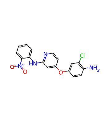 Nc1ccc(Oc2ccnc(Nc3ccccc3[N+](=O)[O-])c2)cc1Cl